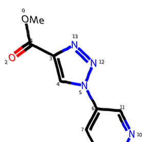 COC(=O)c1cn(-c2cccnc2)nn1